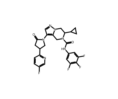 O=C1CC(c2ccc(F)cn2)CN1c1cnn2c1CN(C(=O)Nc1cc(F)c(F)c(F)c1)C(C1CC1)C2